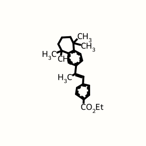 CCOC(=O)c1ccc(C=C(C)c2ccc3c(c2)C(C)(C)CCCC3(C)C)cc1